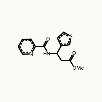 COC(=O)CC(NC(=O)c1ccccn1)c1ccsc1